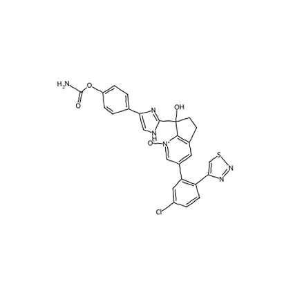 NC(=O)Oc1ccc(-c2c[nH]c(C3(O)CCc4cc(-c5cc(Cl)ccc5-c5csnn5)c[n+]([O-])c43)n2)cc1